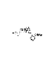 COc1ccccc1/C=C/C=C(\C[C@H](N)C(=O)O)C(=O)O